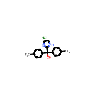 Cl.OC(c1ccc(C(F)(F)F)cc1)(c1ccc(C(F)(F)F)cc1)c1ncc[nH]1